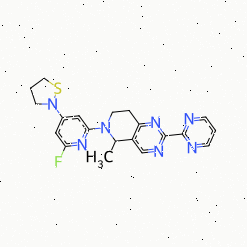 CC1c2cnc(-c3ncccn3)nc2CCN1c1cc(N2CCCS2)cc(F)n1